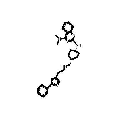 CN(C)c1nc(N[C@H]2CC[C@@H](CNCCc3csc(-c4ccccc4)c3)CC2)nc2ccccc12